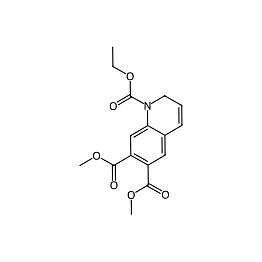 CCOC(=O)N1CC=Cc2cc(C(=O)OC)c(C(=O)OC)cc21